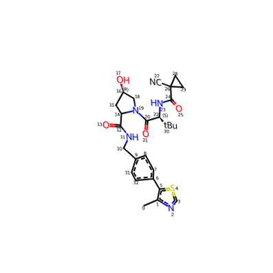 Cc1ncsc1-c1ccc(CNC(=O)C2C[C@@H](O)CN2C(=O)[C@@H](NC(=O)C2(C#N)CC2)C(C)(C)C)cc1